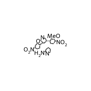 COc1cc([N+](=O)[O-])ccc1-c1cnc2oc3cc([N+](=O)[O-])ccc3c2c1.Nc1ccccn1